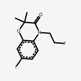 CC1(C)Oc2cc(I)ccc2N(CCF)C1=O